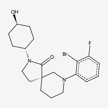 O=C1N([C@H]2CC[C@H](O)CC2)CC[C@]12CCCN(c1cccc(F)c1Br)C2